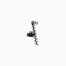 CCCCCCCCCCCCCCC=CO.O=S(=O)([O-])[O-].[Na+].[Na+]